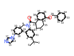 CC(C)c1ccc(N(Cc2ccc(-n3ccnc3)cc2)C(=O)C2CCCc3c(OCc4ccccc4)cccc32)cc1